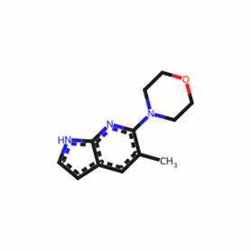 Cc1cc2cc[nH]c2nc1N1CCOCC1